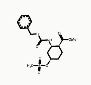 COC(=O)[C@H]1CC[C@@H](OS(C)(=O)=O)C[C@H]1NC(=O)OCc1ccccc1